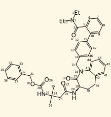 CCN(CC)C(=O)c1ccccc1-c1ccc(CN2C(=O)[C@H](NC(=O)CC(C)(C)NC(=O)OCc3ccccc3)CCc3ccccc32)cc1